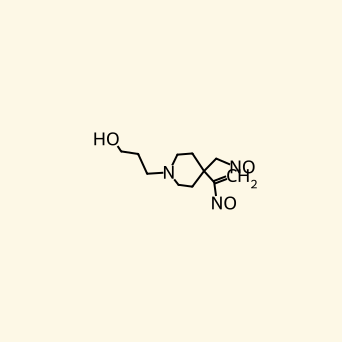 C=C(N=O)C1(CN=O)CCN(CCCO)CC1